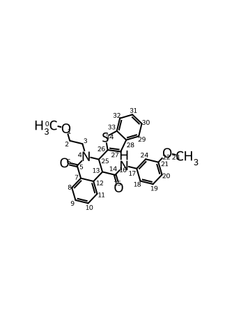 COCCN1C(=O)c2ccccc2C(C(=O)Nc2cccc(OC)c2)C1c1cc2ccccc2s1